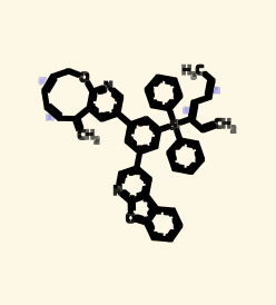 C=C/C(=C\C=C/C)[Si](c1ccccc1)(c1ccccc1)c1cc(-c2cnc3c(c2)C(=C)/C=C\C=C/CO3)cc(-c2cnc3oc4ccccc4c3c2)c1